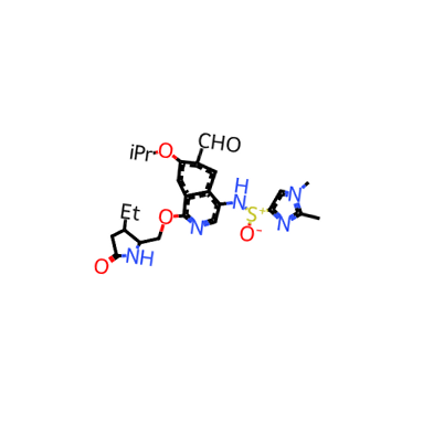 CCC1CC(=O)NC1COc1ncc(N[S+]([O-])c2cn(C)c(C)n2)c2cc(C=O)c(OC(C)C)cc12